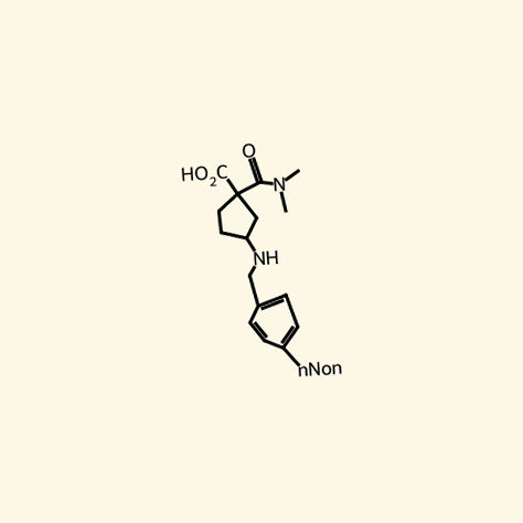 CCCCCCCCCc1ccc(CNC2CCC(C(=O)O)(C(=O)N(C)C)C2)cc1